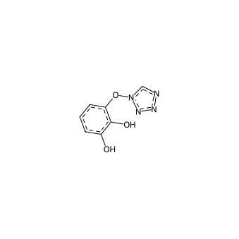 Oc1cccc(On2cnnn2)c1O